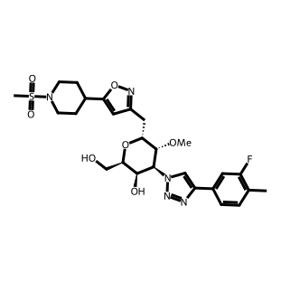 CO[C@@H]1[C@@H](n2cc(-c3ccc(C)c(F)c3)nn2)[C@@H](O)[C@@H](CO)O[C@@H]1Cc1cc(C2CCN(S(C)(=O)=O)CC2)on1